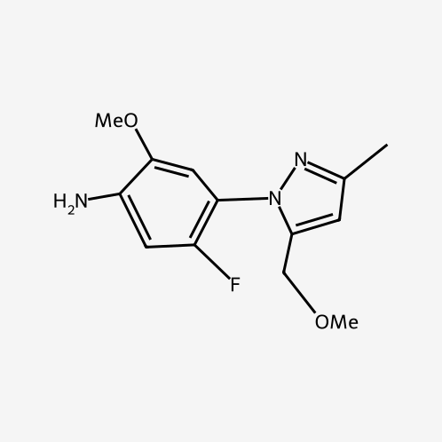 COCc1cc(C)nn1-c1cc(OC)c(N)cc1F